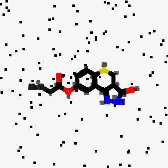 COCC(=O)Oc1ccc2c(c1)C1=NNC(=O)C1CS2